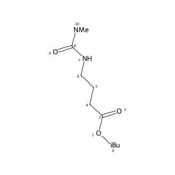 CCC(C)OC(=O)CCCNC(=O)NC